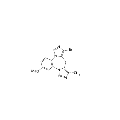 COc1ccc2c(c1)-n1nnc(C)c1Cc1c(Br)ncn1-2